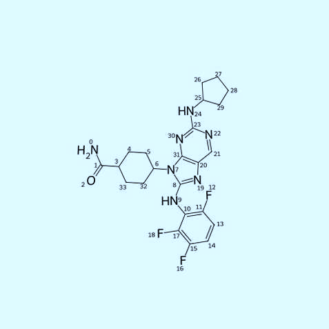 NC(=O)C1CCC(n2c(Nc3c(F)ccc(F)c3F)nc3cnc(NC4CCCC4)nc32)CC1